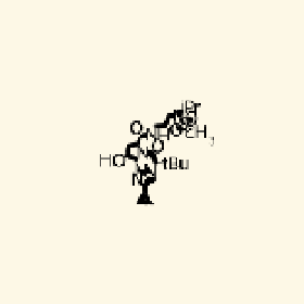 CC(C)N(CCCNC(=O)[C@@H]1C[C@@H](O)CN1C(=O)[C@@H](n1cc(C2CC2)nn1)C(C)(C)C)S(C)(=O)=O